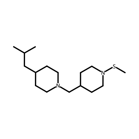 CSN1CCC(CN2CCC(CC(C)C)CC2)CC1